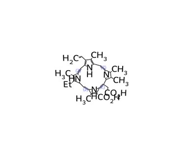 C=Cc1c2[nH]c(c1C)/C=C1N=C(/C(CC(=O)O)=c3\[nH]/c(c(C)c3C(=O)O)=C\C3N/C(=C\2)C(C)=C3CC)C(C)C\1C